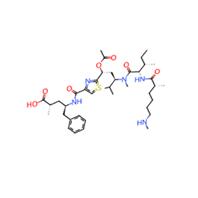 CC[C@H](C)[C@H](NC(=O)[C@H](C)CCCCNC)C(=O)N(C)[C@H](C[C@@H](OC(C)=O)c1nc(C(=O)N[C@@H](Cc2ccccc2)C[C@H](C)C(=O)O)cs1)C(C)C